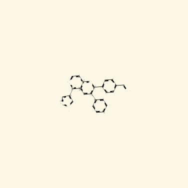 O=Cc1ccc(-c2nc3ccnc(-c4cn[nH]c4)c3cc2-c2ccccc2)cc1